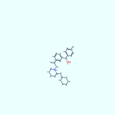 Cc1ccc(C(O)c2cccc(C(C)CN3CCCCC3CC3CCCCC3)c2)cc1